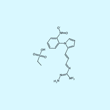 CCS(=O)(=O)O.NN=C(N)N=CC=Cc1cccn1-c1ccccc1[N+](=O)[O-]